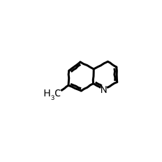 CC1=CC2=NC=CCC2C=C1